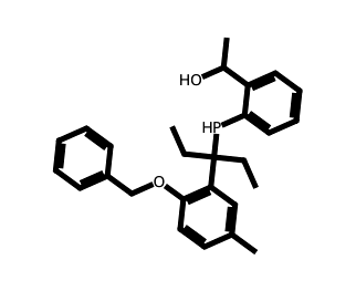 CCC(CC)(Pc1ccccc1C(C)O)c1cc(C)ccc1OCc1ccccc1